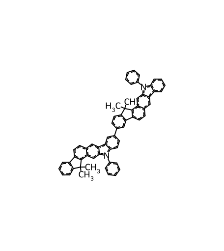 CC1(C)c2ccc(-c3ccc4c(c3)c3cc5ccc6c(c5cc3n4-c3ccccc3)C(C)(C)c3ccccc3-6)cc2-c2ccc3cc4c5ccccc5n(-c5ccccc5)c4cc3c21